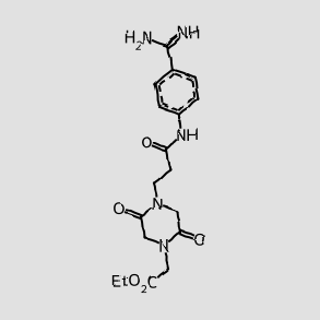 CCOC(=O)CN1CC(=O)N(CCC(=O)Nc2ccc(C(=N)N)cc2)CC1=O